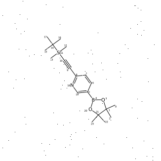 CC1(C)OB(c2ccc(C#C[Si](C)(C)C(C)(C)C)nc2)OC1(C)C